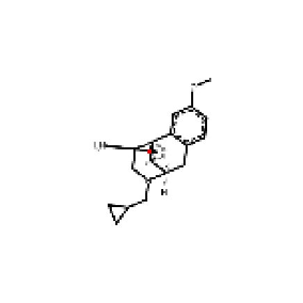 COc1ccc2c(c1)[C@]13CCN(CC4CC4)[C@H](C2)[C@]1(O)C[C@H](N)C3